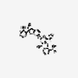 COC(OC)c1ccccc1CN(C(=O)C1(C)COC1)C(C=O)CNc1ccc2c(c1)CC1(C2)C(=O)Nc2ncccc21